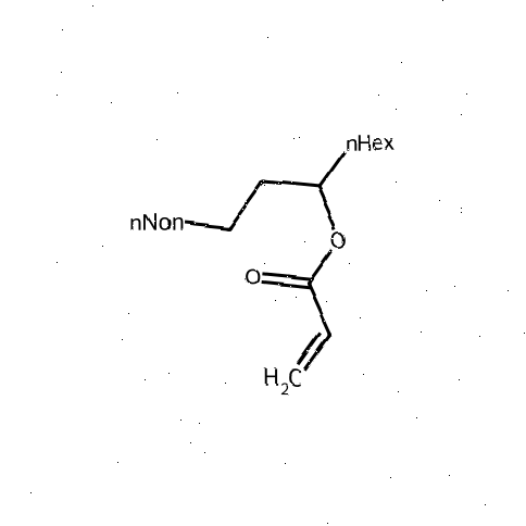 C=CC(=O)OC(CCCCCC)CCCCCCCCCCC